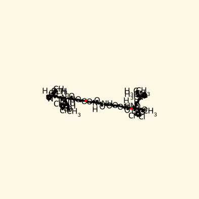 COC(=O)CC(NC(=O)[C@H](CCC(=O)NCCOCCOCCOCCNC(=O)CCC(=O)NCCOCCOCCOCCNC(=O)CC[C@H](NC(=O)CCCCN(C(=O)OC(C)(C)C)c1ccccn1)C(=O)NC(CC(=O)OC)c1cc(Cl)cc(Cl)c1)NC(=O)CCCCN(C(=O)OC(C)(C)C)c1ccccn1)c1cc(Cl)cc(Cl)c1